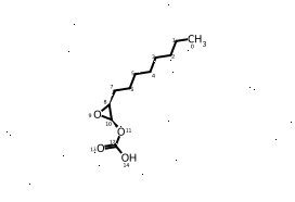 CCCCCCCC[C@@H]1O[C@@H]1OC(=O)O